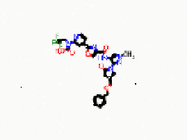 Cn1cc(NC(=O)c2coc(-c3ccnc(N(CC(F)(F)F)C(=O)O)c3)n2)c(N2CC(COCc3ccccc3)CC2=O)n1